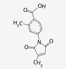 CC1=CC(=O)N(c2ccc(C(=O)O)c(C)c2)C1=O